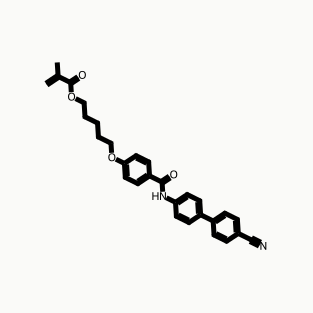 C=C(C)C(=O)OCCCCCOc1ccc(C(=O)Nc2ccc(-c3ccc(C#N)cc3)cc2)cc1